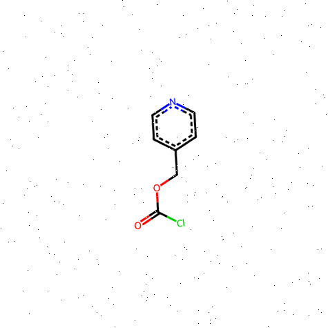 O=C(Cl)OCc1ccncc1